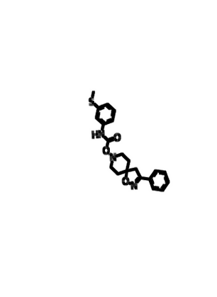 CSc1cccc(NC(=O)ON2CCC3(CC2)CC(c2ccccc2)=NO3)c1